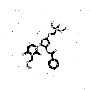 CCCCOCn1c(=O)ccn([C@@H]2O[C@@H](OCP(=O)(OCC)OCC)CC2OC(=O)c2ccccc2)c1=O